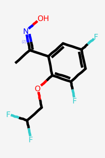 C/C(=N/O)c1cc(F)cc(F)c1OCC(F)F